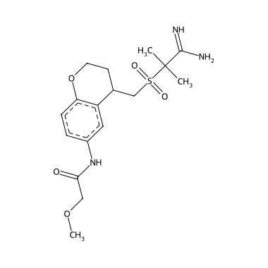 COCC(=O)Nc1ccc2c(c1)C(CS(=O)(=O)C(C)(C)C(=N)N)CCO2